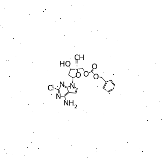 C#C[C@]1(COC(=O)OCc2ccccc2)O[C@@H](n2ccc3c(N)nc(Cl)nc32)C[C@@H]1O